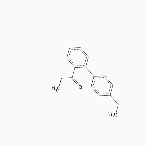 CCC(=O)c1ccccc1-c1ccc(CC)cc1